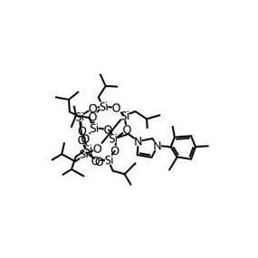 Cc1cc(C)c(N2C=CN(C[Si]34O[Si]5(CC(C)C)O[Si]6(CC(C)C)O[Si]7(CC(C)C)O[Si](CC(C)C)(O5)O[Si](CC(C)C)(O[Si](CC(C)C)(O7)O[Si](CC(C)C)(O6)O3)O4)C2)c(C)c1